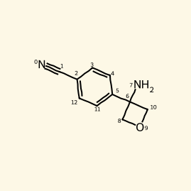 N#Cc1ccc(C2(N)COC2)cc1